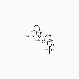 CC[C@H](C)C(=O)O[C@H]1C[C@H](O)C=C2C=C[C@H](C)[C@H](CC[C@@H](O)C[C@@H](O)CC(=O)C(C)(C)CC)[C@H]21